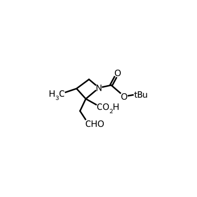 CC1CN(C(=O)OC(C)(C)C)C1(CC=O)C(=O)O